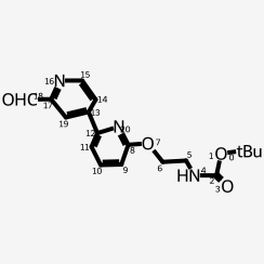 CC(C)(C)OC(=O)NCCOc1cccc(-c2ccnc(C=O)c2)n1